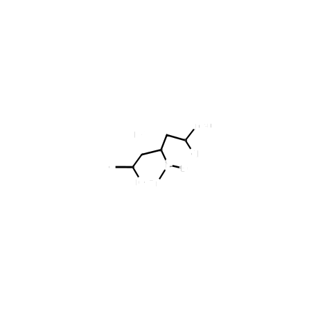 CCCCC(Cl)CC(CC(C)O)N(CC)CC.Cl